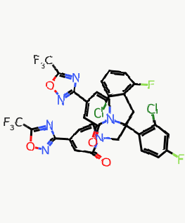 O=c1cc(-c2noc(C(F)(F)F)n2)ccn1CC(Cc1c(F)cccc1Cl)(c1ccc(F)cc1Cl)n1ccc(-c2noc(C(F)(F)F)n2)cc1=O